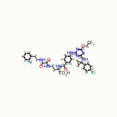 O=C(NCCc1ccccc1F)C(=O)NCC[C@H](NC(=O)c1ccc(Nc2nc(NC3(c4ccc(Cl)cc4)CC3)nc(OCC(F)(F)F)n2)cc1)C(=O)O